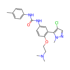 Cc1ccc(NC(=O)Nc2ccc(OCCN(C)C)c(-c3c(Cl)cnn3C)c2)cc1